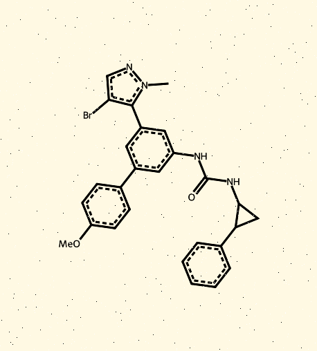 COc1ccc(-c2cc(NC(=O)NC3CC3c3ccccc3)cc(-c3c(Br)cnn3C)c2)cc1